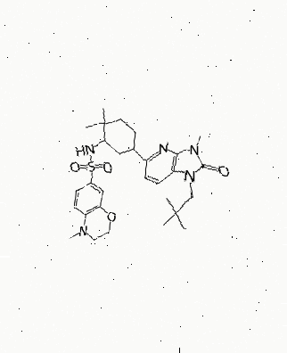 CN1CCOc2cc(S(=O)(=O)NC3CC(c4ccc5c(n4)n(C)c(=O)n5CC(C)(C)C)CCC3(C)C)ccc21